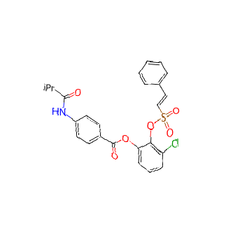 CC(C)C(=O)Nc1ccc(C(=O)Oc2cccc(Cl)c2OS(=O)(=O)C=Cc2ccccc2)cc1